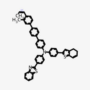 C/C=C\c1ccc(-c2ccc(-c3ccc(N(c4ccc(-c5cc6c(s5)C=CCC6)cc4)c4ccc(-c5nc6ccccc6s5)cc4)cc3)cc2)cc1C